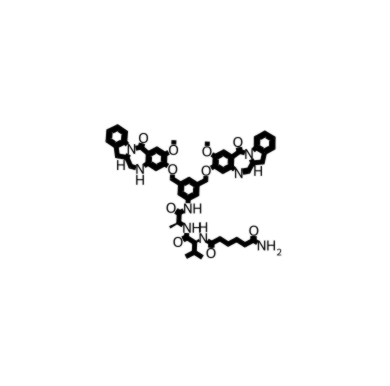 COc1cc2c(cc1OCc1cc(COc3cc4c(cc3OC)C(=O)N3c5ccccc5C[C@H]3CN4)cc(NC(=O)[C@H](C)NC(=O)[C@@H](NC(=O)CCCCC(N)=O)C(C)C)c1)N=C[C@@H]1Cc3ccccc3N1C2=O